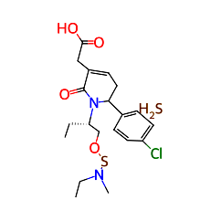 CC[C@@H](COSN(C)CC)N1C(=O)C(CC(=O)O)=CCC1c1ccc(Cl)cc1.S